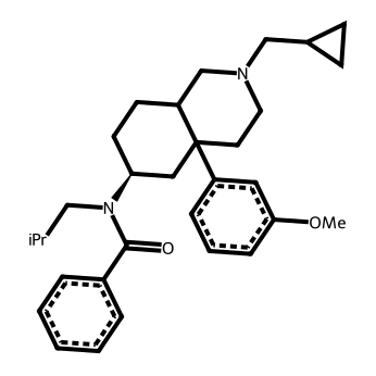 COc1cccc(C23CCN(CC4CC4)CC2CC[C@H](N(CC(C)C)C(=O)c2ccccc2)C3)c1